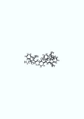 CC(C)N(C)c1ccc(OC2=C(/C=C/C3=[N+](C(C)C)c4ccccc4C3(C)C)CCC/C2=C\C=C2\N(C(C)C)c3ccccc3C2(C)C)cc1